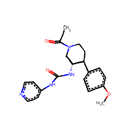 COc1ccc(C2CCN(C(C)=O)C[C@H]2NC(=O)Nc2ccncc2)cc1